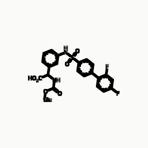 CC(C)(C)OC(=O)NC(C(=O)O)c1cccc(NS(=O)(=O)c2ccc(-c3ccc(F)cc3F)cc2)c1